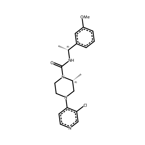 COc1cccc([C@@H](C)NC(=O)N2CCN(c3ccncc3Cl)C[C@H]2C)c1